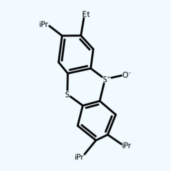 CCc1cc2c(cc1C(C)C)Sc1cc(C(C)C)c(C(C)C)cc1[S+]2[O-]